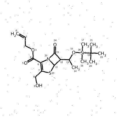 C=CCOC(=O)C1=C(CO)SC2C(C(C)O[Si](C)(C)C(C)(C)C)C(=O)N12